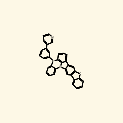 c1cncc(-c2cccc(N3c4ccccc4-n4c5cc6c(cc5c5cccc3c54)sc3ccccc36)c2)c1